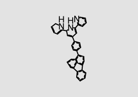 C1=CCNC(C2C=C(c3ccc(-c4ccc5c6c(cccc46)-c4ccccc4-5)cc3)C=C(c3ccccn3)N2)=C1